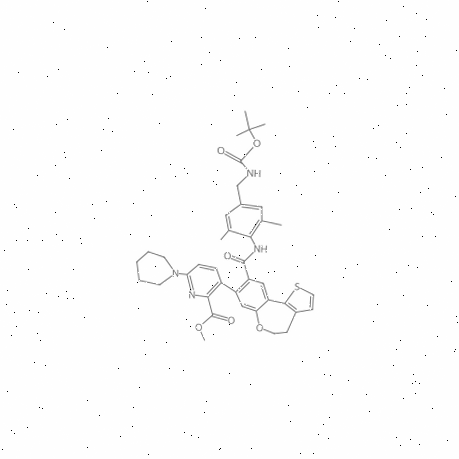 COC(=O)c1nc(N2CCCCC2)ccc1-c1cc2c(cc1C(=O)Nc1c(C)cc(CNC(=O)OC(C)(C)C)cc1C)-c1sccc1CCO2